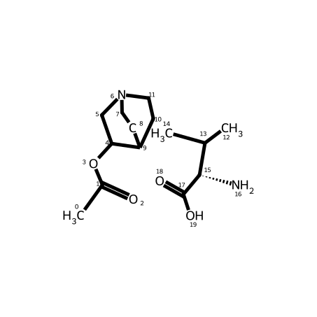 CC(=O)OC1CN2CCC1CC2.CC(C)[C@H](N)C(=O)O